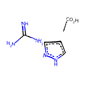 CC(=O)O.N=C(N)N.c1cn[nH]c1